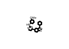 COc1cccc(Nc2nccc(-c3ccc4noc(-c5ccccc5)c4c3)n2)c1